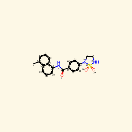 Cc1cccc2c(NC(=O)c3ccc(N4CCNS4(=O)=O)cc3)cccc12